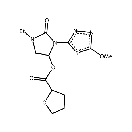 CCN1CC(OC(=O)C2CCCO2)N(c2nnc(OC)s2)C1=O